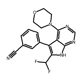 N#Cc1cccc(-c2c(C(F)F)[nH]c3ncnc(N4CCOCC4)c23)c1